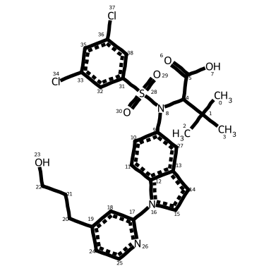 CC(C)(C)C(C(=O)O)N(c1ccc2c(ccn2-c2cc(CCCO)ccn2)c1)S(=O)(=O)c1cc(Cl)cc(Cl)c1